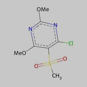 COc1nc(Cl)c(S(C)(=O)=O)c(OC)n1